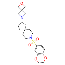 O=S(=O)(c1ccc2c(c1)OCCO2)N1CCC2(CCC(N3CC4(COC4)C3)C2)CC1